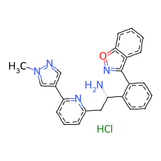 Cl.Cn1cc(-c2cccc(C[C@H](N)c3ccccc3-c3noc4ccccc34)n2)cn1